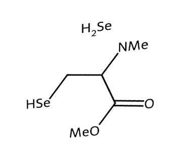 CNC(C[SeH])C(=O)OC.[SeH2]